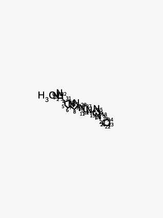 Cn1cc(-c2ccc3cc(N4CCN(c5cnc(Cc6ccccc6)cn5)CC4)nn3c2)cn1